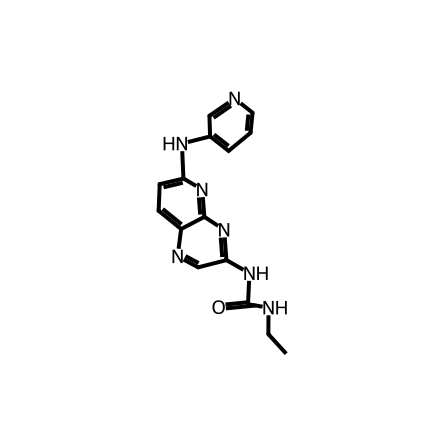 CCNC(=O)Nc1cnc2ccc(Nc3cccnc3)nc2n1